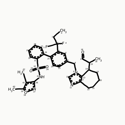 CCC(F)(F)c1cc(Cn2cnc3c2C(C(C)C=O)CCCC3)ccc1-c1ccccc1S(=O)(=O)Nc1noc(C)c1C